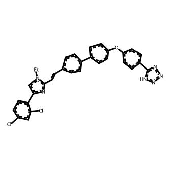 CCn1cc(-c2ccc(Cl)cc2Cl)nc1/C=C/c1ccc(-c2ccc(Oc3ccc(-c4nnn[nH]4)cc3)cc2)cc1